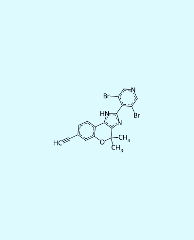 C#Cc1ccc2c(c1)OC(C)(C)c1nc(-c3c(Br)cncc3Br)[nH]c1-2